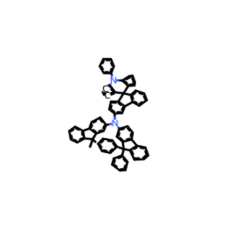 CC1(C)c2ccccc2-c2ccc(N(c3ccc4c(c3)-c3ccccc3C43c4ccccc4N(c4ccccc4)c4ccccc43)c3ccc4c(c3)C(c3ccccc3)(c3ccccc3)c3ccccc3-4)cc21